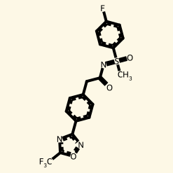 CS(=O)(=NC(=O)Cc1ccc(-c2noc(C(F)(F)F)n2)cc1)c1ccc(F)cc1